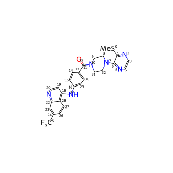 CSc1nccnc1N1CCN(C(=O)c2ccc(Nc3ccnc4cc(C(F)(F)F)ccc34)cc2)CC1